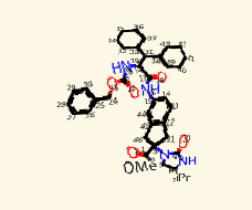 COC(=O)C1(N2C[C@@H](C(C)C)NC2=O)Cc2ccc(NC(=O)[C@@H](NC(=O)OCc3ccccc3)C(C3CCCCC3)C3CCCCC3)cc2C1